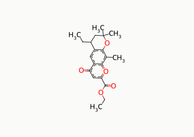 CCOC(=O)c1cc(=O)c2cc3c(c(C)c2o1)OC(C)(C)CC3CC